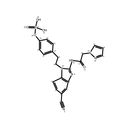 N#Cc1ccc2c(c1)nc(NC(=O)Cn1cccn1)n2CCc1ccc(OP(=O)(O)O)cc1